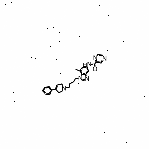 Cc1cc(NC(=O)c2cnccn2)cc2ncn(CCCCN3CC=C(c4ccccc4)CC3)c12